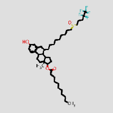 CCCCCCCCCCC(=O)OC1CCC2C3C(CCCCCCCCC[S+]([O-])CCCC(F)(F)C(F)(F)F)Cc4cc(O)ccc4C3CCC12C